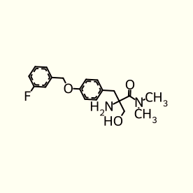 CN(C)C(=O)C(N)(CO)Cc1ccc(OCc2cccc(F)c2)cc1